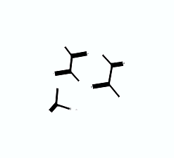 CC(=O)C(=O)[O-].CC(=O)C(=O)[O-].C[C](=O)[Fe+2]